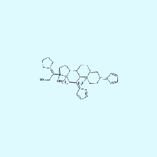 CC12CCC(=C3C=CC=C3)C=C1CCC1C2C(=C2C=CC=C2)CC2(C)C1CCC2(O)C(CO)=C1CCCC1